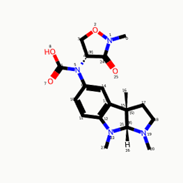 CN1OC[C@@H](N(C(=O)O)c2ccc3c(c2)[C@]2(C)CCN(C)[C@@H]2N3C)C1=O